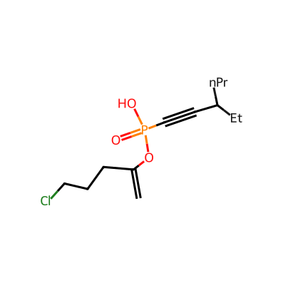 C=C(CCCCl)OP(=O)(O)C#CC(CC)CCC